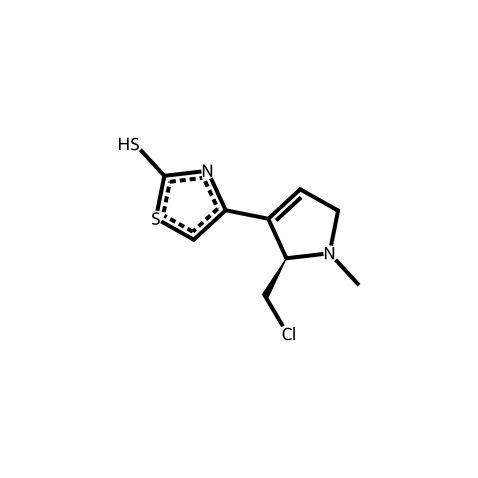 CN1CC=C(c2csc(S)n2)[C@@H]1CCl